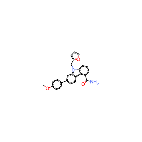 COc1ccc(-c2c[c]c3c4c(C(N)=O)cccc4n(Cc4ccco4)c3c2)cc1